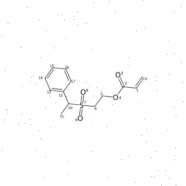 C=CC(=O)OCCS(=O)(=O)C(C)c1ccccc1